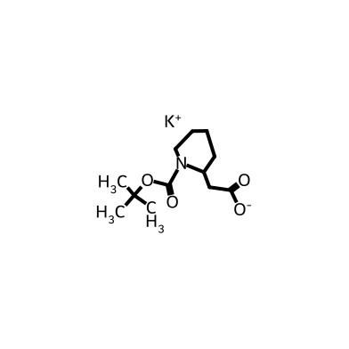 CC(C)(C)OC(=O)N1CCCCC1CC(=O)[O-].[K+]